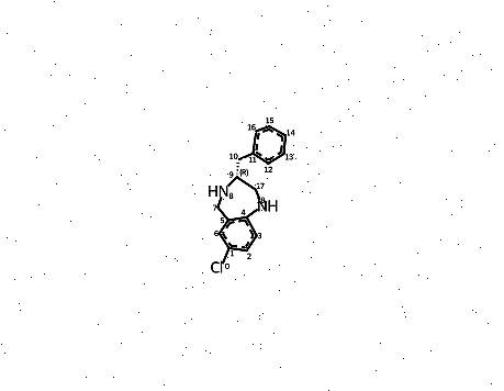 Clc1ccc2c(c1)CN[C@H](Cc1ccccc1)CN2